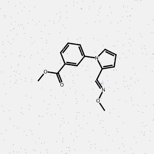 CO/N=C/c1cccn1-c1cccc(C(=O)OC)c1